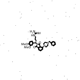 COc1ccc([C@@H](CCCNC(=N)N)N2C(=O)c3cccc(N4CCN(Cc5ccccc5)CC4)c3C2=O)cc1OC